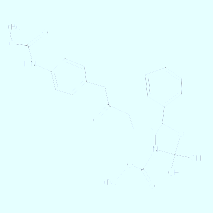 CC(C)(C)OC(=O)Nc1ccc(CC(=O)CC[C@@H]2C(c3ccccc3)OC(C)(C)N2C(=O)OC(C)(C)C)cc1